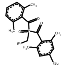 Cc1cccc(C)c1C(=O)P(=O)(CC(C)C)C(=O)c1c(C)cc(C(C)(C)C)cc1C